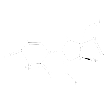 C=N[C@]1(CO)O[C@@H](n2ccc(=O)[nH]c2=O)[C@@H](CF)[C@@H]1O